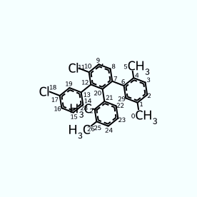 Cc1ccc(C)c(-c2c[c]c(Cl)c(-c3cccc(Cl)c3)c2-c2cccc(C)c2C)c1